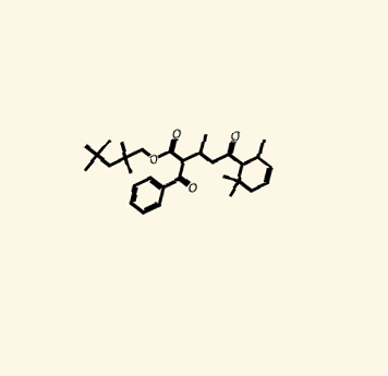 CC1C=CCC(C)(C)C1C(=O)CC(C)C(C(=O)OCC(C)(C)CC(C)(C)C)C(=O)c1ccccc1